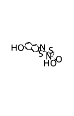 O=C(O)[C@H]1CSC(c2nc3cc4ccc(O)cc4cc3s2)=N1